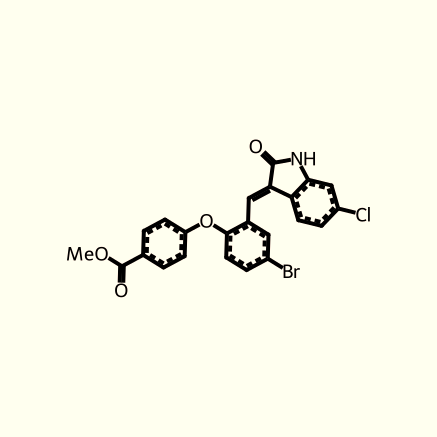 COC(=O)c1ccc(Oc2ccc(Br)cc2/C=C2/C(=O)Nc3cc(Cl)ccc32)cc1